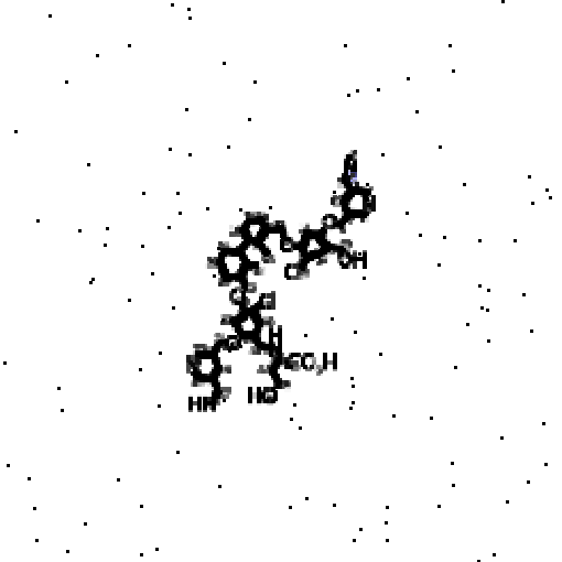 C/N=C/c1cncc(COc2cc(OCc3cccc(-c4cccc(COc5cc(OCc6cncc(C=N)c6)c(CN[C@H](CCO)C(=O)O)cc5Cl)c4C)c3C)c(Cl)cc2CO)c1